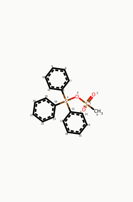 CS(=O)(=O)OS(c1ccccc1)(c1ccccc1)c1ccccc1